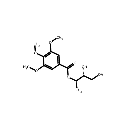 COc1cc(C(=O)O[C@H](C)[C@H](O)CO)cc(OC)c1OC